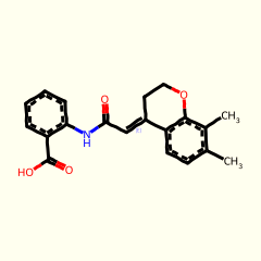 Cc1ccc2c(c1C)OCC/C2=C\C(=O)Nc1ccccc1C(=O)O